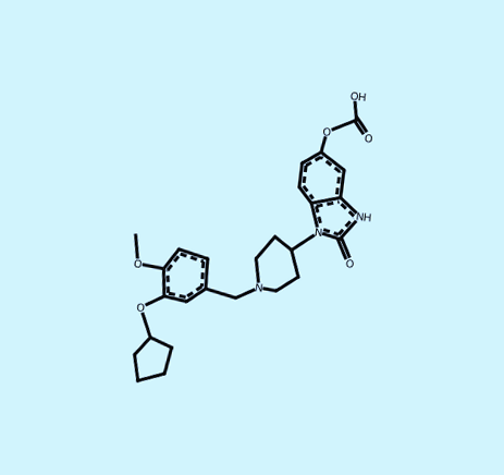 COc1ccc(CN2CCC(n3c(=O)[nH]c4cc(OC(=O)O)ccc43)CC2)cc1OC1CCCC1